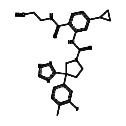 COCCNC(=O)c1ccc(C2CC2)cc1NC(=O)N1CCC(c2ccc(C)c(F)c2)(c2ncns2)C1